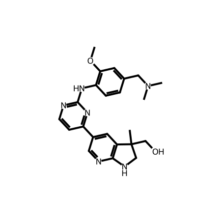 COc1cc(CN(C)C)ccc1Nc1nccc(-c2cnc3c(c2)C(C)(CO)CN3)n1